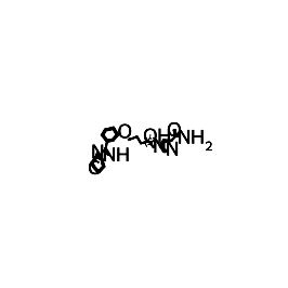 NC(=O)c1cn(C[C@@H](O)CCCOc2cccc(-c3nc4ccccc4[nH]3)c2)cn1